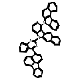 c1ccc2c(c1)-c1cccc3c(-c4nc(-n5c6cc7ccccc7cc6c6c(-n7c8ccccc8c8c9ccccc9ccc87)cccc65)nc5ccccc45)ccc-2c13